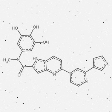 CN(C(=O)c1cc2nc(-c3ccnc(-c4ccsc4)c3)ccc2[nH]1)c1cc(O)c(O)c(O)c1